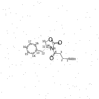 C#CCCC(=O)N1C(=O)OC[C@H]1Cc1ccccc1